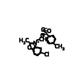 CC[n+]1c(C)oc2ccc(Cl)cc21.Cc1ccc(S(=O)(=O)[O-])cc1